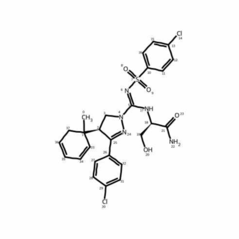 CC1([C@H]2CN(/C(=N/S(=O)(=O)c3ccc(Cl)cc3)N[C@H](CO)C(N)=O)N=C2c2ccc(Cl)cc2)C=CC=CC1